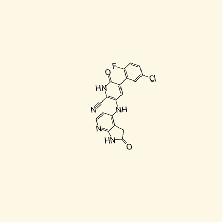 N#Cc1[nH]c(=O)c(-c2cc(Cl)ccc2F)cc1Nc1ccnc2c1CC(=O)N2